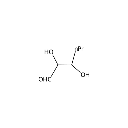 CCCC(O)C(O)C=O